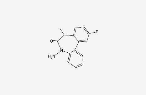 CC1C(=O)N(N)c2ccccc2-c2cc(F)ccc21